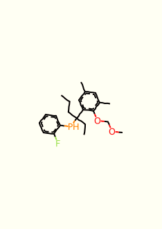 CCCC(CC)(Pc1ccccc1F)c1cc(C)cc(C)c1OCOC